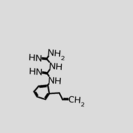 C=CCc1ccccc1NC(=N)NC(=N)N